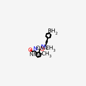 Bc1ccc(C#C/C(C)=N/OCc2c(C)cccc2/C(=N\OC)C(=O)NC)cc1